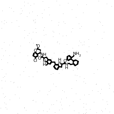 COC(=O)C[C@@H](NC(=O)C1Cc2cc(Cc3cccc4c3NC(C(=O)NCCc3ccccc3-c3ccccc3CN)C4)cc(C)c2N1)c1cccc(Cl)c1